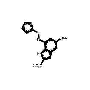 CCOC(=O)c1cc2cc(OC)cc(NSc3cccs3)c2[nH]1